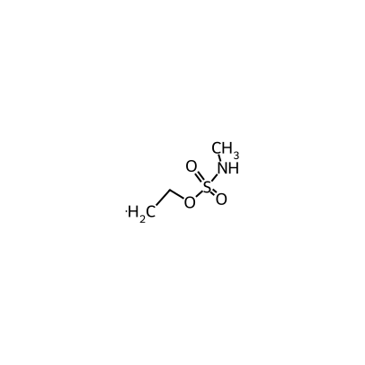 [CH2]COS(=O)(=O)NC